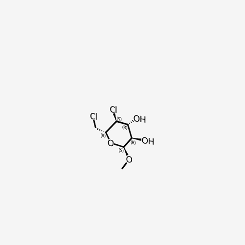 CO[C@H]1O[C@H](CCl)[C@@H](Cl)[C@H](O)[C@H]1O